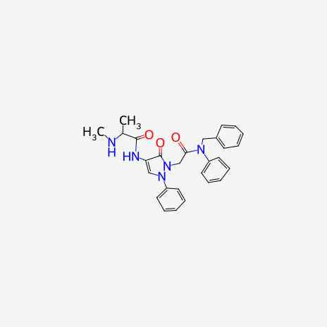 CNC(C)C(=O)Nc1cn(-c2ccccc2)n(CC(=O)N(Cc2ccccc2)c2ccccc2)c1=O